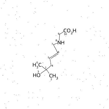 CC(C)(O)C/C=C/CNCC(=O)O